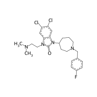 CN(C)CCn1c(=O)n(C2CCCN(Cc3ccc(F)cc3)CC2)c2cc(Cl)c(Cl)cc21